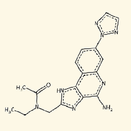 CCN(Cc1nc2c(N)nc3cc(-n4nccn4)ccc3c2[nH]1)C(C)=O